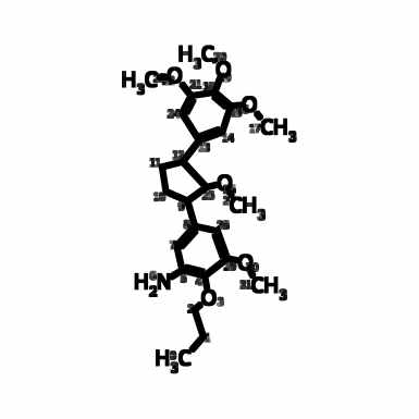 CCCOc1c(N)cc(C2CCC(c3cc(OC)c(OC)c(OC)c3)C2OC)cc1OC